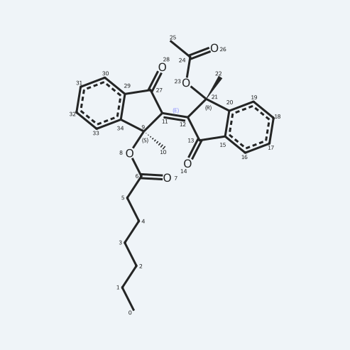 CCCCCCC(=O)O[C@]1(C)/C(=C2\C(=O)c3ccccc3[C@@]2(C)OC(C)=O)C(=O)c2ccccc21